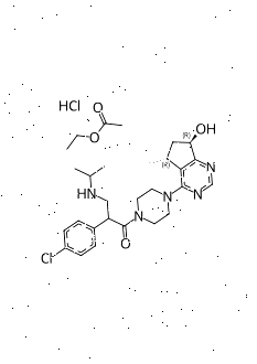 CC(C)NCC(C(=O)N1CCN(c2ncnc3c2[C@H](C)C[C@H]3O)CC1)c1ccc(Cl)cc1.CCOC(C)=O.Cl